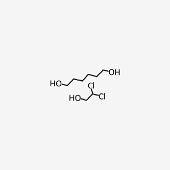 OCC(Cl)Cl.OCCCCCCO